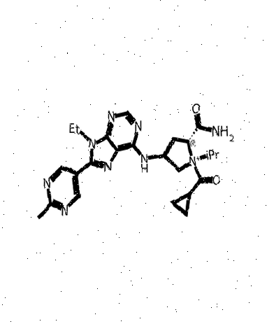 CCn1c(-c2cnc(C)nc2)nc2c(NC3C[C@H](C(N)=O)[N+](C(=O)C4CC4)(C(C)C)C3)ncnc21